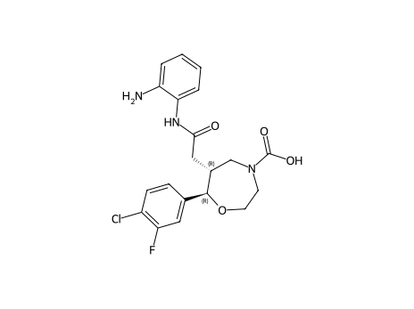 Nc1ccccc1NC(=O)C[C@@H]1CN(C(=O)O)CCO[C@H]1c1ccc(Cl)c(F)c1